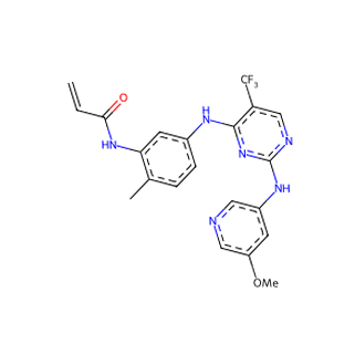 C=CC(=O)Nc1cc(Nc2nc(Nc3cncc(OC)c3)ncc2C(F)(F)F)ccc1C